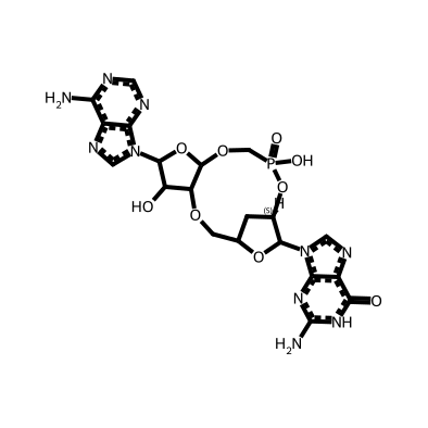 Nc1nc2c(ncn2C2OC3COC4C(OCP(=O)(O)O[C@H]2C3)OC(n2cnc3c(N)ncnc32)C4O)c(=O)[nH]1